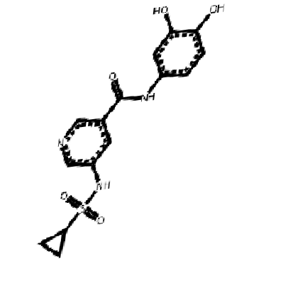 O=C(Nc1ccc(O)c(O)c1)c1cncc(NS(=O)(=O)C2CC2)c1